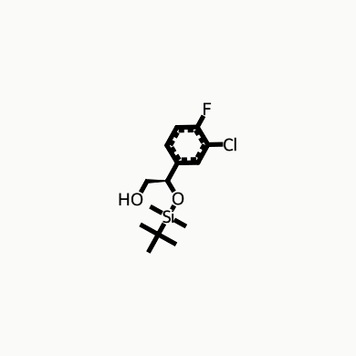 CC(C)(C)[Si](C)(C)O[C@@H](CO)c1ccc(F)c(Cl)c1